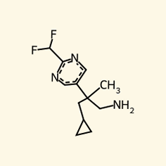 CC(CN)(CC1CC1)c1cnc(C(F)F)nc1